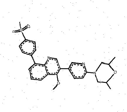 COc1c(-c2ccc(N3CC(C)OC(C)C3)nc2)cnc2c(-c3ccc(S(C)(=O)=O)cc3)cccc12